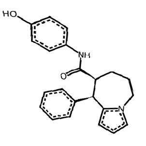 O=C(Nc1ccc(O)cc1)[C@H]1CCCn2cccc2[C@H]1c1ccccc1